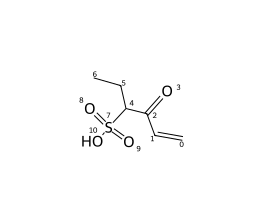 C=CC(=O)C(CC)S(=O)(=O)O